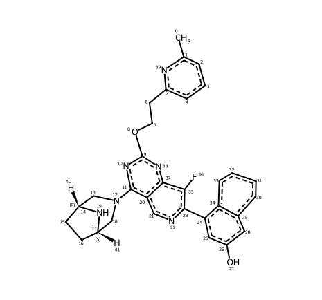 Cc1cccc(CCOc2nc(N3C[C@H]4CC[C@@H](C3)N4)c3cnc(-c4cc(O)cc5ccccc45)c(F)c3n2)n1